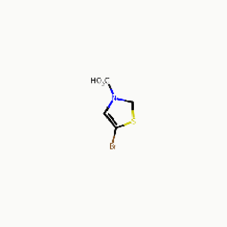 O=C(O)N1C=C(Br)SC1